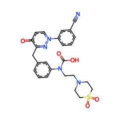 N#Cc1cccc(-n2ccc(=O)c(Cc3cccc(N(CCN4CCS(=O)(=O)CC4)C(=O)O)c3)n2)c1